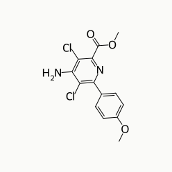 COC(=O)c1nc(-c2ccc(OC)cc2)c(Cl)c(N)c1Cl